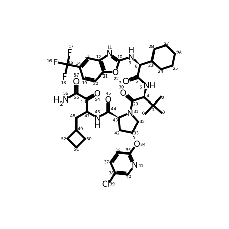 CC(C)(C)[C@H](NC(=O)[C@@H](Nc1nc2cc(C(F)(F)F)ccc2o1)C1CCCCC1)C(=O)N1C[C@H](Oc2ccc(Cl)cn2)C[C@H]1C(=O)NC(CC1CCC1)C(=O)C(N)=O